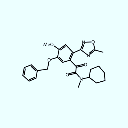 COc1cc(-c2noc(C)n2)c(C(=O)C(=O)N(C)C2CCCCC2)cc1OCc1ccccc1